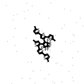 Cc1ccc(-c2ccc(-c3sc(C)cc3C3=C(c4cc(-c5ccc(C)s5)sc4-c4ccc(C)s4)C(F)(F)C(F)(F)C3(F)F)s2)s1